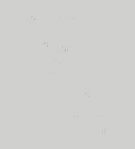 CCOC(=O)/C(N)=N\NC(=O)CCNC(=O)OC(C)(C)C